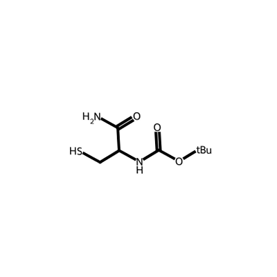 CC(C)(C)OC(=O)NC(CS)C(N)=O